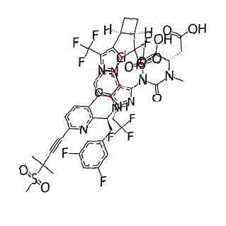 CN(C(=O)N(c1nn(CC(F)(F)F)c2c(-c3ccc(C#CC(C)(C)S(C)(=O)=O)nc3[C@H](Cc3cc(F)cc(F)c3)NC(=O)Cn3nc(C(F)(F)F)c4c3C(F)(F)[C@@H]3CC[C@H]43)ccc(Cl)c12)S(C)(=O)=O)[C@@H](CC(=O)O)C(=O)O